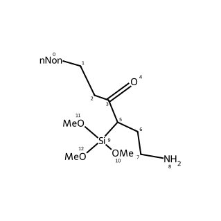 CCCCCCCCCCCC(=O)C(CCN)[Si](OC)(OC)OC